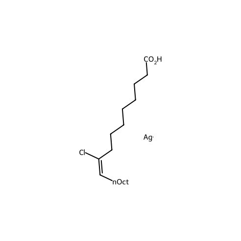 CCCCCCCC/C=C(/Cl)CCCCCCCC(=O)O.[Ag]